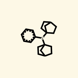 c1ccc([S+](C23CCC(CC2)C3)C23CCC(CC2)C3)cc1